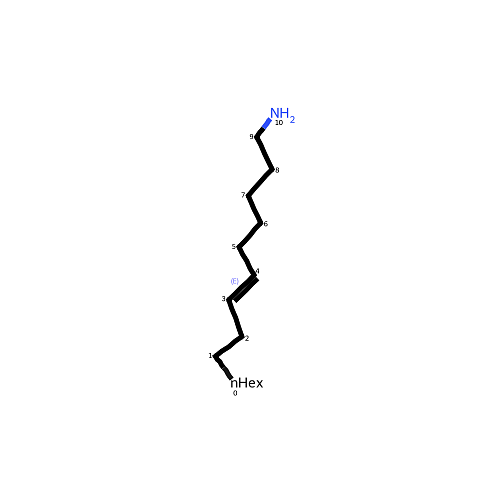 CCCCCCCC/C=C/CCCCCN